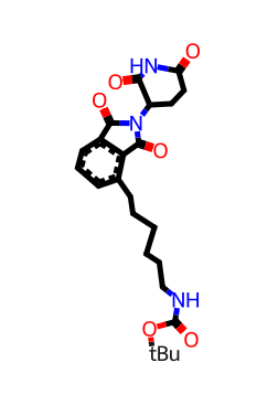 CC(C)(C)OC(=O)NCCCCCCc1cccc2c1C(=O)N(C1CCC(=O)NC1=O)C2=O